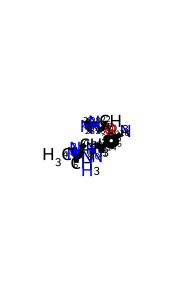 Cc1nn(C)c(C)c1Nc1ncc(-c2ccc(C#N)c(OC(C)Cn3cncn3)c2)cn1